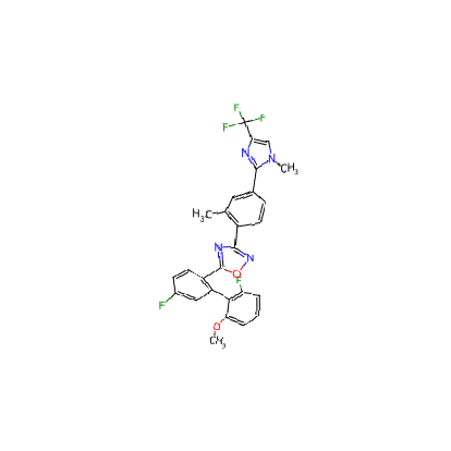 COc1cccc(F)c1-c1cc(F)ccc1-c1nc(-c2ccc(-c3nc(C(F)(F)F)cn3C)cc2C)no1